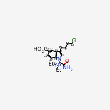 CCN(CC)C(C(N)=O)n1cc(CCCCCl)c2cc(C(=O)O)ccc21